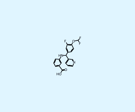 O=C(O)c1cccc(NC(c2cccnc2)c2ccc(OC(F)F)c(F)c2)c1